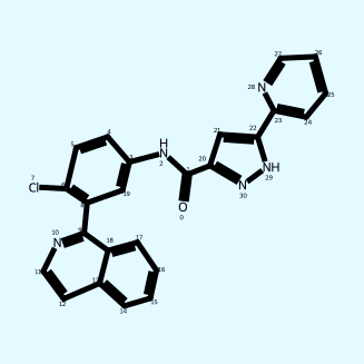 O=C(Nc1ccc(Cl)c(-c2nccc3ccccc23)c1)c1cc(-c2ccccn2)[nH]n1